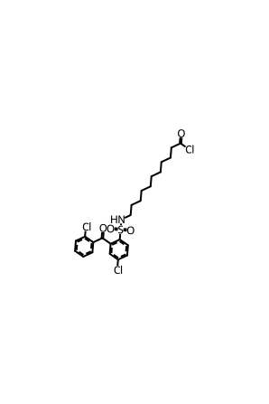 O=C(Cl)CCCCCCCCCCNS(=O)(=O)c1ccc(Cl)cc1C(=O)c1ccccc1Cl